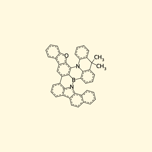 CC1(C)c2ccccc2N2c3c(cccc31)B1c3c(cc4c(oc5ccccc54)c32)-c2cccc3c4ccc5ccccc5c4n1c23